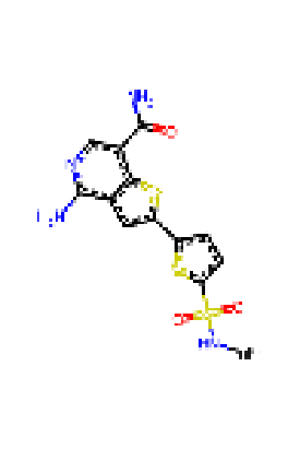 CCCNS(=O)(=O)c1ccc(-c2cc3c(N)ncc(C(N)=O)c3s2)s1